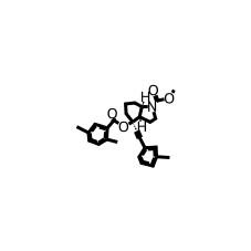 COC(=O)N1CC[C@@H]2[C@H]1CCC[C@]2(C#Cc1cccc(C)c1)OC(=O)c1cc(C)ccc1C